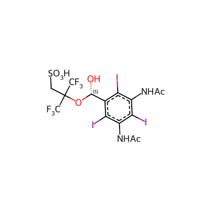 CC(=O)Nc1c(I)c(NC(C)=O)c(I)c([C@@H](O)OC(CS(=O)(=O)O)(C(F)(F)F)C(F)(F)F)c1I